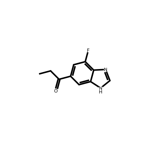 CCC(=O)c1cc(F)c2nc[nH]c2c1